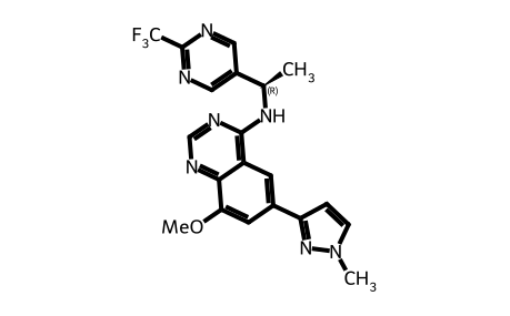 COc1cc(-c2ccn(C)n2)cc2c(N[C@H](C)c3cnc(C(F)(F)F)nc3)ncnc12